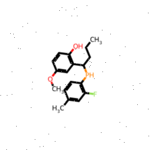 CCCC(Pc1ccc(C)cc1F)c1cc(OC)ccc1O